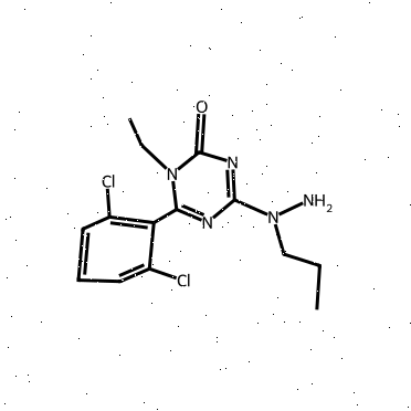 CCCN(N)c1nc(-c2c(Cl)cccc2Cl)n(CC)c(=O)n1